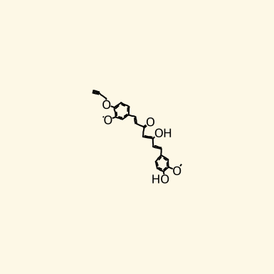 C#CCOc1ccc(/C=C/C(=O)/C=C(O)/C=C/c2ccc(O)c(OC)c2)cc1OC